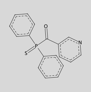 O=C(c1cccnc1)P(=S)(c1ccccc1)c1ccccc1